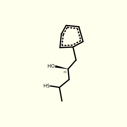 CC(S)C[C@@H](O)Cc1ccccc1